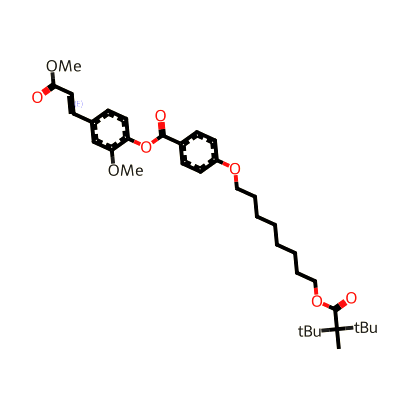 COC(=O)/C=C/c1ccc(OC(=O)c2ccc(OCCCCCCCCOC(=O)C(C)(C(C)(C)C)C(C)(C)C)cc2)c(OC)c1